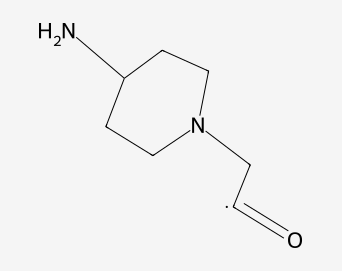 NC1CCN(C[C]=O)CC1